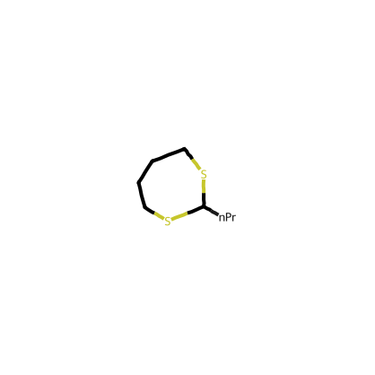 CCCC1SCCCCS1